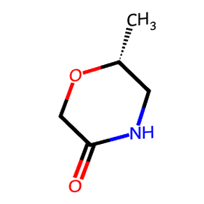 C[C@@H]1CNC(=O)CO1